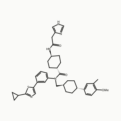 COc1ccc([C@H]2CC[C@H](CN(c3cccc(-c4cnc(C5CC5)s4)c3)C(=O)[C@H]3CC[C@H](NC(=O)Cc4c[nH]cn4)CC3)CC2)cc1C